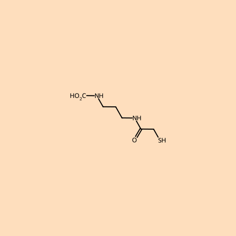 O=C(O)NCCCNC(=O)CS